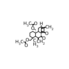 C=C1C(=O)[C@@]23CC[C@@H](CC2[C@]2(COC(C)=O)CCC[C@@](C)(COC(C)=O)C12)C(=C)C3=O